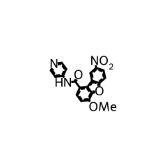 COc1ccc(C(=O)Nc2ccncc2)c2c1oc1ccc([N+](=O)[O-])cc12